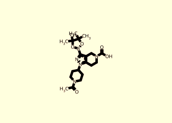 CC(=O)N1CCC(n2nc(B3OC(C)(C)C(C)(C)O3)c3c2CCN(C(=O)O)C3)CC1